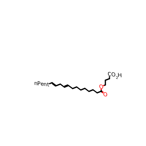 CCCCCC=CCC=CCCCCCCCC(=O)OCCCC(=O)O